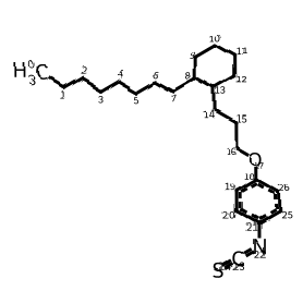 CCCCCCCCC1CCCCC1CCCOc1ccc(N=C=S)cc1